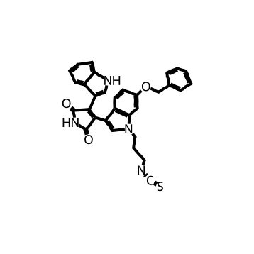 O=C1NC(=O)C(c2cn(CCCN=C=S)c3cc(OCc4ccccc4)ccc23)=C1c1c[nH]c2ccccc12